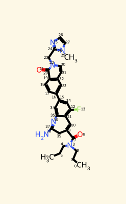 CCCN(CCC)C(=O)C1=Cc2c(F)cc(-c3ccc4c(=O)n(Cc5nccn5C)ccc4c3)cc2N=C(N)C1